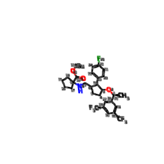 C[C@H](OC1CCC(CNC2(C(=O)OC(C)(C)C)CCCC2)C1c1ccc(F)cc1)c1cc(C(F)(F)F)cc(C(F)(F)F)c1